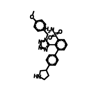 COc1ccc(Cn2nnnc2-c2c(-c3ccc(C4CCNC4)cc3)cccc2S(N)(=O)=O)cc1